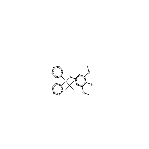 COc1cc(O[Si](c2ccccc2)(c2ccccc2)C(C)(C)C)cc(OC)c1Br